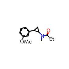 CCC(=O)N(C)C1CC1c1cccc(OC)c1